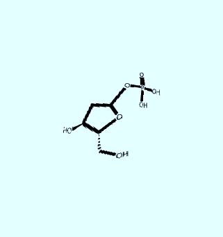 O=P(O)(O)OC1C[C@H](O)[C@@H](CO)O1